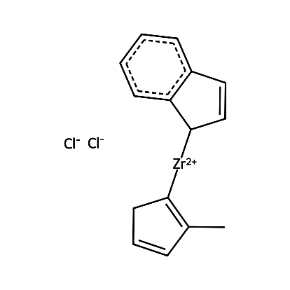 CC1=[C]([Zr+2][CH]2C=Cc3ccccc32)CC=C1.[Cl-].[Cl-]